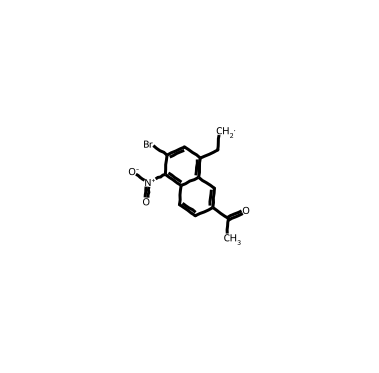 [CH2]Cc1cc(Br)c([N+](=O)[O-])c2ccc(C(C)=O)cc12